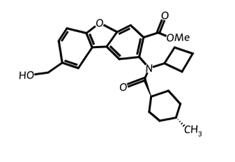 COC(=O)c1cc2oc3ccc(CO)cc3c2cc1N(C(=O)[C@H]1CC[C@H](C)CC1)C1CCC1